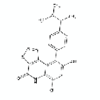 CC(c1ccc(-c2c(O)cc(Cl)c3[nH]c(=O)c4sccc4c23)cc1)N(C)C